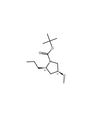 CCC[C@@H]1C[C@H](OC)CN1C(=O)OC(C)(C)C